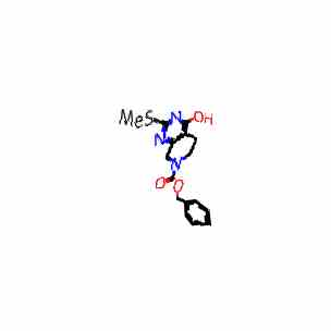 CSc1nc(O)c2c(n1)CN(C(=O)OCc1ccccc1)CC2